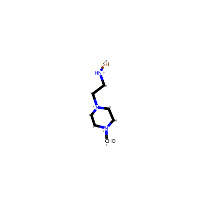 O=CN1CCN(CCNS)CC1